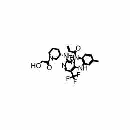 C=CC(=O)Nc1ccc(C)cc1Nc1nc(N[C@H]2CCCN(C(=O)CO)C2)ncc1C(F)(F)F